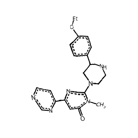 CCOc1ccc(C2CN(c3nc(-c4ccncn4)cc(=O)n3C)CCN2)cc1